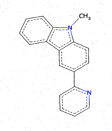 Cn1c2ccccc2c2cc(-c3ccccn3)ccc21